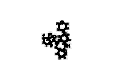 C[C@H]1CC[C@@](C)(C(=O)N2Cc3cccnc3Nc3ccc(N4CCOCC4)cc32)C1(C)C